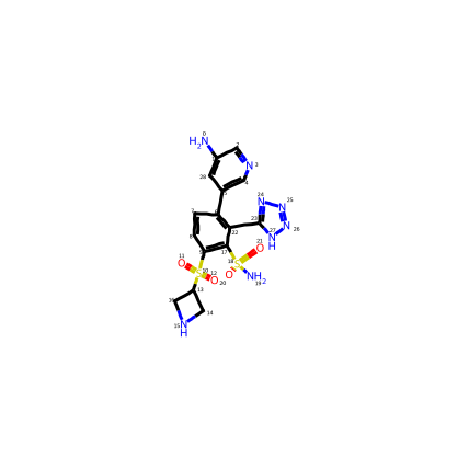 Nc1cncc(-c2ccc(S(=O)(=O)C3CNC3)c(S(N)(=O)=O)c2-c2nnn[nH]2)c1